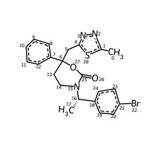 Cc1nnc(CC2(c3ccccc3)CCN([C@@H](C)c3ccc(Br)cc3)C(=O)O2)s1